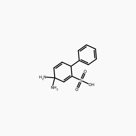 NC1(N)C=CC(c2ccccc2)C(S(=O)(=O)O)=C1